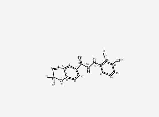 CC1(C)C=Cc2cc(C(=O)NNc3cccc(Cl)c3Cl)ccc2O1